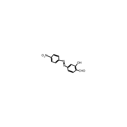 O=Cc1ccc(N=Nc2ccc([N+](=O)[O-])cc2)cc1O